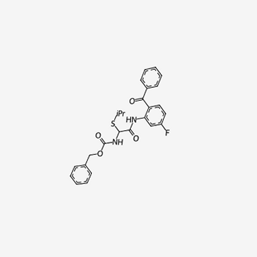 CC(C)SC(NC(=O)OCc1ccccc1)C(=O)Nc1cc(F)ccc1C(=O)c1ccccc1